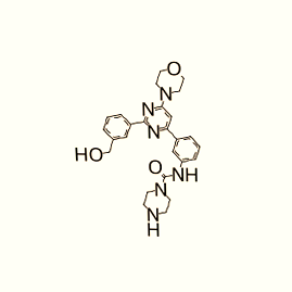 O=C(Nc1cccc(-c2cc(N3CCOCC3)nc(-c3cccc(CO)c3)n2)c1)N1CCNCC1